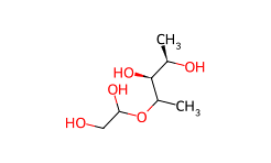 CC(OC(O)CO)[C@@H](O)[C@@H](C)O